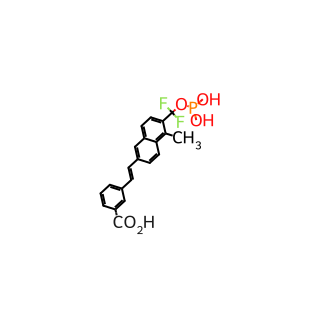 Cc1c(C(F)(F)OP(O)O)ccc2cc(/C=C/c3cccc(C(=O)O)c3)ccc12